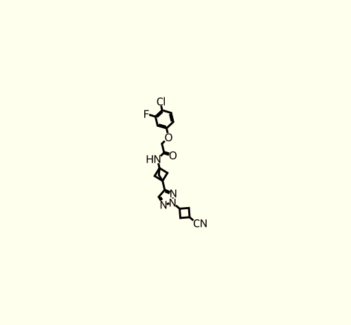 N#CC1CC(n2ncc(C34CC(NC(=O)COc5ccc(Cl)c(F)c5)(C3)C4)n2)C1